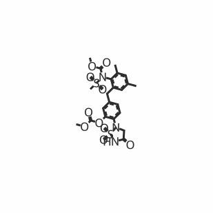 COC(=O)Oc1cc(Cc2cc(C)cc(C)c2N(C(=O)OC)S(C)(=O)=O)ccc1N1CC(=O)NS1(=O)=O